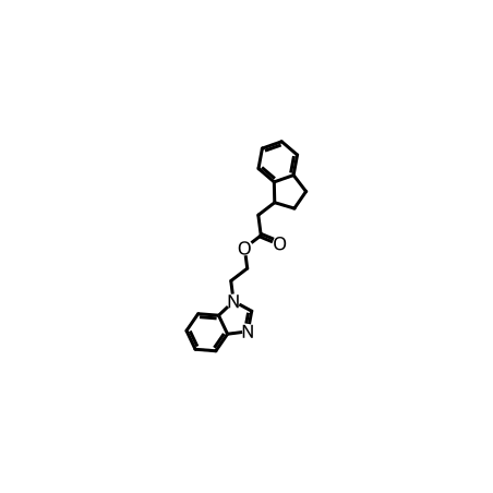 O=C(CC1CCc2ccccc21)OCCn1cnc2ccccc21